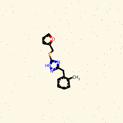 Cc1ccccc1Cc1n[nH]c(SCc2ccco2)n1